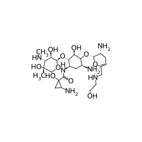 CN[C@@H]1[C@@H](O)[C@@H](O[C@H]2[C@H](NC(=O)C3(O)CC3N)C[C@H](N)C(O[C@H]3OC(CNCCO)=CC[C@H]3N)[C@@H]2O)OC[C@]1(C)O